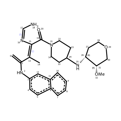 C=C(Nc1ccc2ccccc2c1)/C(C)=C(\N=C/N)C(=O)N1CCC(N[C@@H]2CCOC[C@@H]2OC)CC1